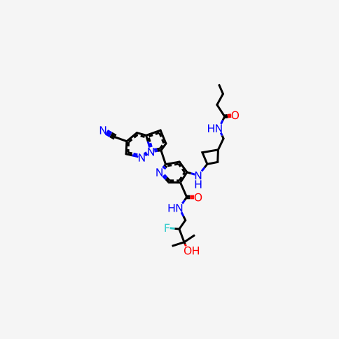 CCCC(=O)NCC1CC(Nc2cc(-c3ccc4cc(C#N)cnn34)ncc2C(=O)NCC(F)C(C)(C)O)C1